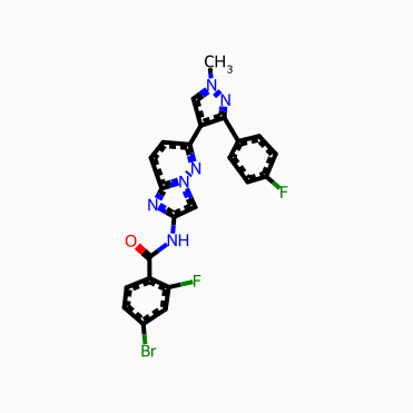 Cn1cc(-c2ccc3nc(NC(=O)c4ccc(Br)cc4F)cn3n2)c(-c2ccc(F)cc2)n1